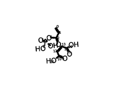 C=CC(=O)OP(=O)(O)O.O=C(O)/C=C\C(=O)O